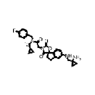 C[C@@H](C1CC1)N(Cc1ccc(F)cc1)C(=O)CN1C(=O)OC2(CCc3cc(NCC4(N)CC4)ccc32)C1=O